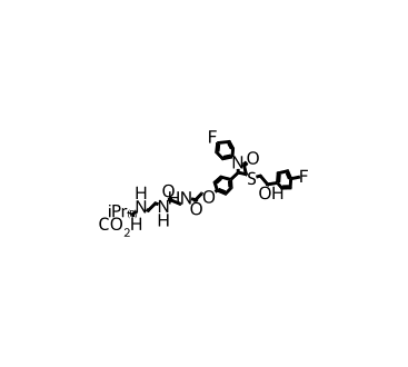 CC(C)[C@@H](NCCNC(=O)CNC(=O)COc1ccc(C2C(SCC(O)c3ccc(F)cc3)C(=O)N2c2ccc(F)cc2)cc1)C(=O)O